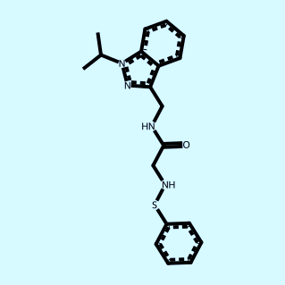 CC(C)n1nc(CNC(=O)CNSc2ccccc2)c2ccccc21